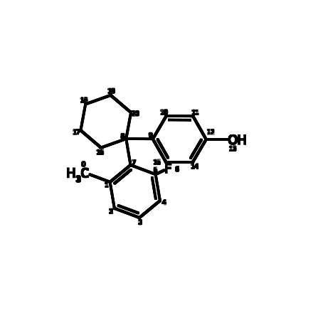 Cc1cccc(F)c1C1(c2ccc(O)cc2)CCCCC1